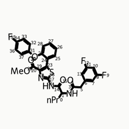 CCCC(NC(=O)Cc1cc(F)cc(F)c1)C(=O)Nc1nc(C(=O)OC)c(-c2ccccc2Oc2ccc(F)cc2)s1